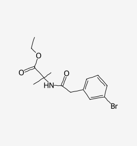 CCOC(=O)C(C)(C)NC(=O)Cc1cccc(Br)c1